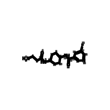 NCCC(=O)NC1CCC(NC(=O)c2cncc(F)c2)CC1